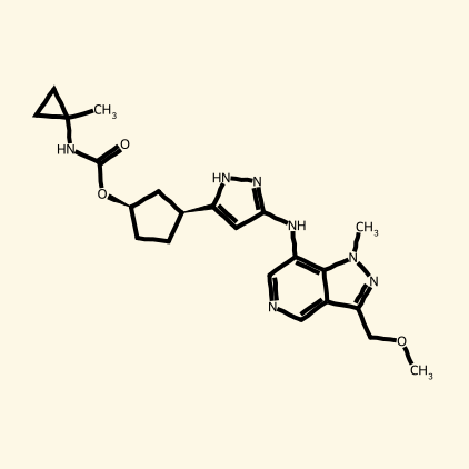 COCc1nn(C)c2c(Nc3cc([C@H]4CC[C@@H](OC(=O)NC5(C)CC5)C4)[nH]n3)cncc12